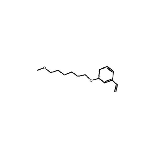 C=CC1=CC(OCCCCCCOC)CC=C1